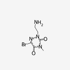 Cn1c(=O)c(Br)nn(CCN)c1=O